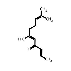 C/C=C/C(=O)/C=C(\C)CCC=C(C)C